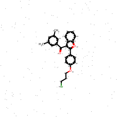 Cc1cc(C)cc(C(=O)c2c(-c3ccc(OCCCBr)cc3)oc3ccccc23)c1